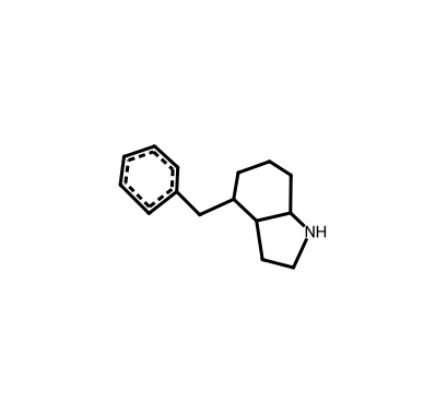 c1ccc(CC2CCCC3NCCC23)cc1